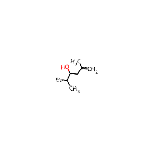 C=C(C)CC(O)C(C)CC